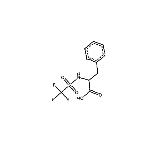 O=C(O)C(Cc1ccccc1)NS(=O)(=O)C(F)(F)F